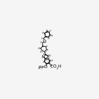 CC(C)Oc1cc2nc(C3CCC(COCc4ccccc4)CC3)cn2cc1C(=O)O